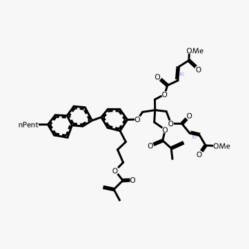 C=C(C)C(=O)OCCCc1cc(-c2ccc3cc(CCCCC)ccc3c2)ccc1OCC(COC(=O)/C=C/C(=O)OC)(COC(=O)/C=C/C(=O)OC)COC(=O)C(=C)C